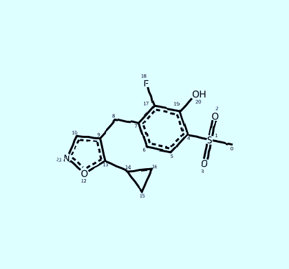 CS(=O)(=O)c1ccc(Cc2cnoc2C2CC2)c(F)c1O